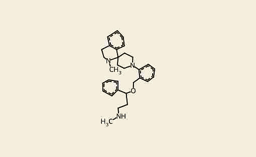 CNCCC(OCc1ccccc1N1CCC2(CC1)c1ccccc1CCN2C)c1ccccc1